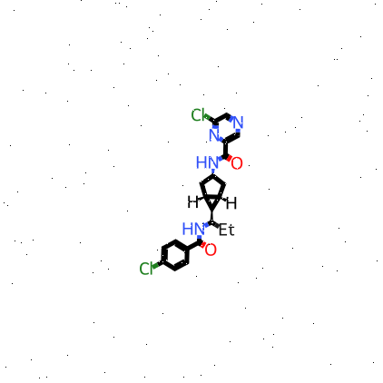 CCC(NC(=O)c1ccc(Cl)cc1)[C@H]1[C@@H]2C[C@@H](NC(=O)c3cncc(Cl)n3)C[C@@H]21